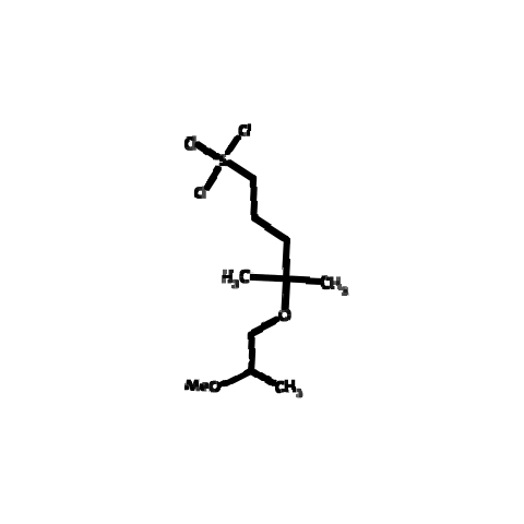 COC(C)COC(C)(C)CCCS(Cl)(Cl)Cl